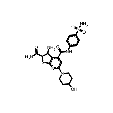 NC(=O)C1Sc2nc(N3CCC(O)CC3)cc(C(=O)Nc3ccc(S(N)(=O)=O)cc3)c2C1N